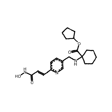 O=C(C=Cc1ccc(CNC2(C(=O)OC3CCCC3)CCCCC2)cn1)NO